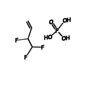 C=CC(F)C(F)F.O=P(O)(O)O